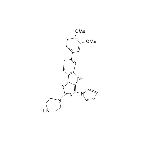 COC1=CC(c2ccc3c(c2)[nH]c2c(-n4cccc4)nc(N4CCNCC4)nc23)=CCC1OC